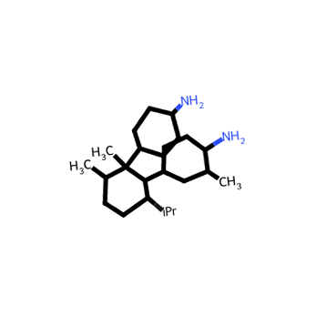 CC(C)C1CCC(C)C(C)(C2CCC(N)CC2)C1C1CCC(N)C(C)C1